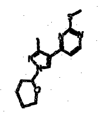 CSc1nccc(-c2cn(C3CCCCO3)nc2C)n1